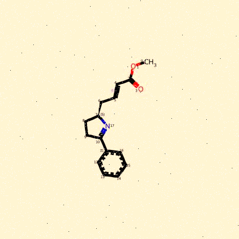 COC(=O)/C=C/C[C@@H]1CCC(c2ccccc2)=N1